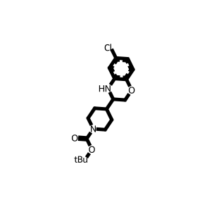 CC(C)(C)OC(=O)N1CCC(C2COc3ccc(Cl)cc3N2)CC1